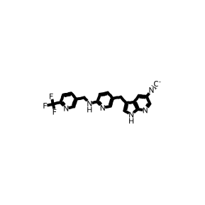 [C-]#[N+]c1cnc2[nH]cc(Cc3ccc(NCc4ccc(C(F)(F)F)nc4)nc3)c2c1